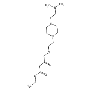 CCOC(=O)CC(=O)COCCN1CCN(CCN(C)C)CC1